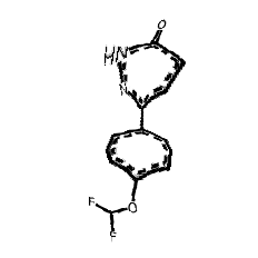 O=c1ccc(-c2ccc(OC(F)F)cc2)n[nH]1